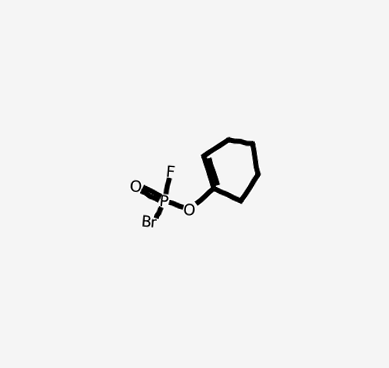 O=P(F)(Br)OC1=CCCCC1